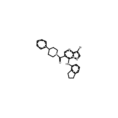 O=C(c1cnc2c(Br)cnn2c1Nc1cccc2c1CCC2)N1CCC(c2ccccc2)CC1